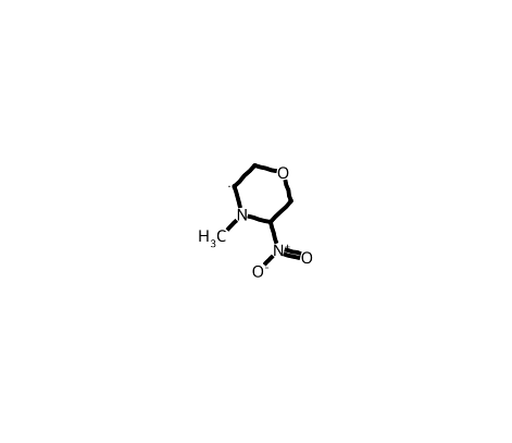 CN1[CH]COCC1[N+](=O)[O-]